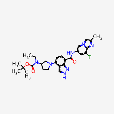 CCN(C(=O)OC(C)(C)C)C1CCN(c2ccc(C(=O)Nc3cc(F)c4nc(C)cn4c3)c3n[nH]cc23)C1